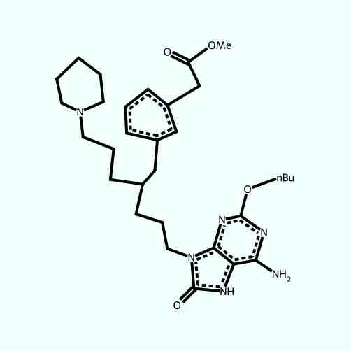 CCCCOc1nc(N)c2[nH]c(=O)n(CCCC(CCCN3CCCCC3)Cc3cccc(CC(=O)OC)c3)c2n1